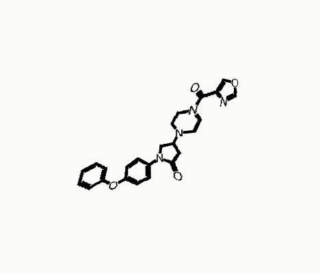 O=C(c1cocn1)N1CCN(C2CC(=O)N(c3ccc(Oc4ccccc4)cc3)C2)CC1